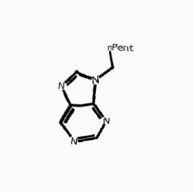 CCCCCCn1cnc2cncnc21